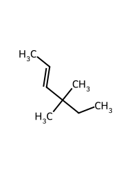 CC=CC(C)(C)CC